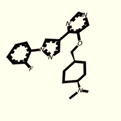 CN(C)[C@H]1CC[C@@H](COc2cncnc2-c2cnn(-c3ccccc3F)c2)CC1